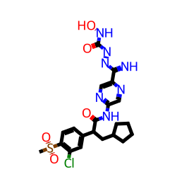 CS(=O)(=O)c1ccc(C(CC2CCCC2)C(=O)Nc2cnc(C(=N)N=NC(=O)NO)cn2)cc1Cl